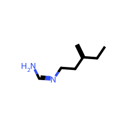 C=C(CC)CC/N=C\N